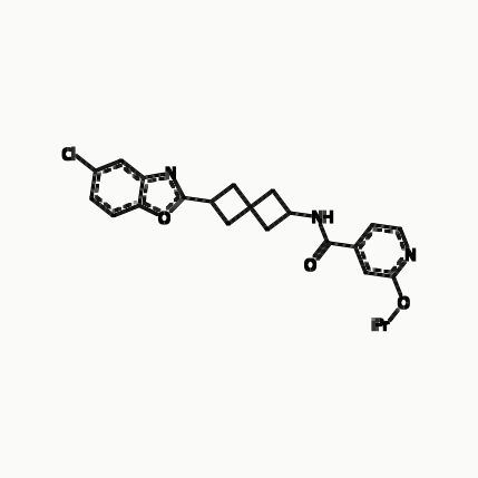 CC(C)Oc1cc(C(=O)NC2CC3(C2)CC(c2nc4cc(Cl)ccc4o2)C3)ccn1